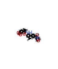 CC(C)c1ccc(NC(=O)C2(c3ccc4c(c3)OCO4)CC2)cc1-c1ccc(C(=O)N2CCOCC2)cc1